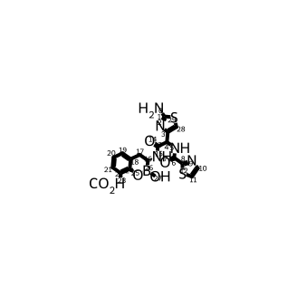 Nc1nc(C(NC(=O)c2nccs2)C(=O)N[C@H]2Cc3cccc(C(=O)O)c3OB2O)cs1